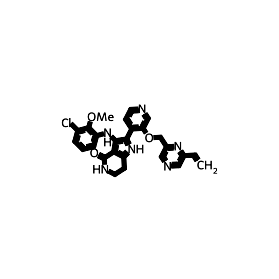 C=Cc1cncc(COc2cnccc2-c2[nH]c3c(c2Nc2cccc(Cl)c2OC)C(=O)NCC3)n1